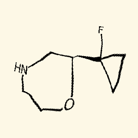 FC1([C@@H]2CNCCO2)CC1